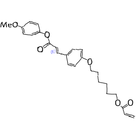 C=CC(=O)OCCCCCCOc1ccc(/C=C/C(=O)Oc2ccc(OC)cc2)cc1